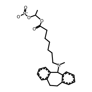 CC(OC(=O)CCCCCCN(C)C1c2ccccc2CCc2ccccc21)O[N+](=O)[O-]